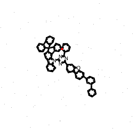 c1ccc(-c2cccc(-c3ccc4c(c3)oc3cc(-c5nc(-c6ccccc6)nc(-n6c7ccccc7c7ccc8c(c76)-c6ccccc6C86c7ccccc7-c7ccccc76)n5)ccc34)c2)cc1